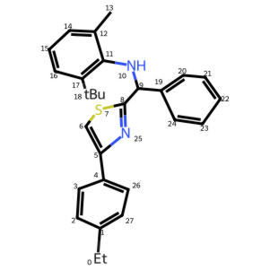 CCc1ccc(-c2csc(C(Nc3c(C)cccc3C(C)(C)C)c3ccccc3)n2)cc1